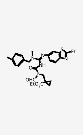 CCOC(=O)C1(CN(C=O)C(=O)N/C(=N\c2ccc3nc(CC)sc3c2)N(C)Cc2ccc(C)cc2)CC1